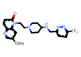 COc1cnc2ccc(=O)n(CCN3CCC(NCc4ccc(C(F)(F)F)nn4)CC3)c2c1